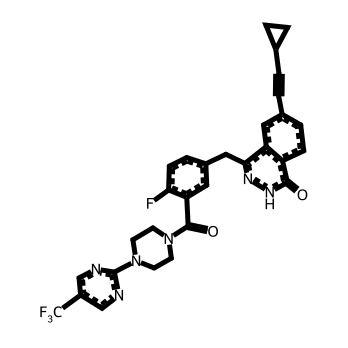 O=C(c1cc(Cc2n[nH]c(=O)c3ccc(C#CC4CC4)cc23)ccc1F)N1CCN(c2ncc(C(F)(F)F)cn2)CC1